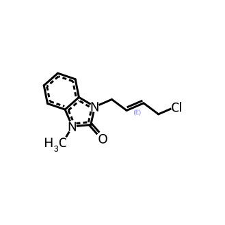 Cn1c(=O)n(C/C=C/CCl)c2ccccc21